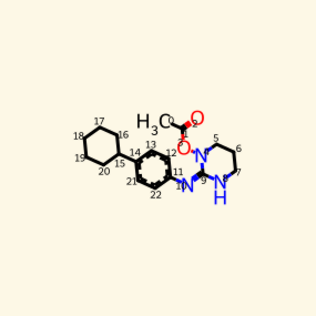 CC(=O)ON1CCCNC1=Nc1ccc(C2CCCCC2)cc1